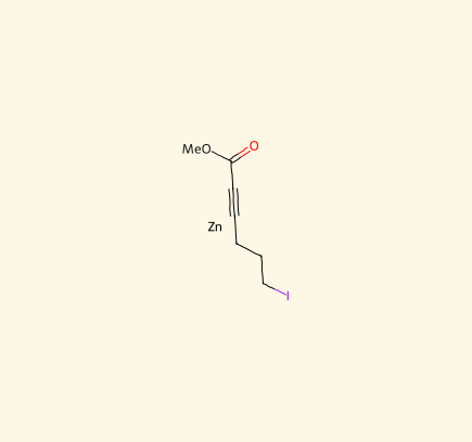 COC(=O)C#CCCCI.[Zn]